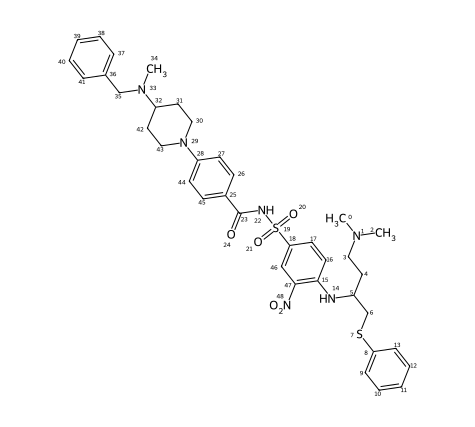 CN(C)CCC(CSc1ccccc1)Nc1ccc(S(=O)(=O)NC(=O)c2ccc(N3CCC(N(C)Cc4ccccc4)CC3)cc2)cc1[N+](=O)[O-]